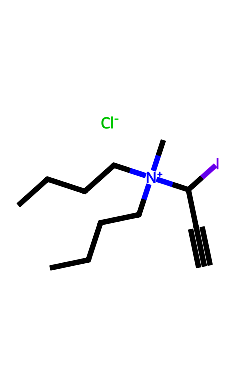 C#CC(I)[N+](C)(CCCC)CCCC.[Cl-]